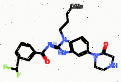 COCCCn1/c(=N/C(=O)c2cccc(C(F)F)c2)[nH]c2cc(N3CCNCC3=O)ccc21